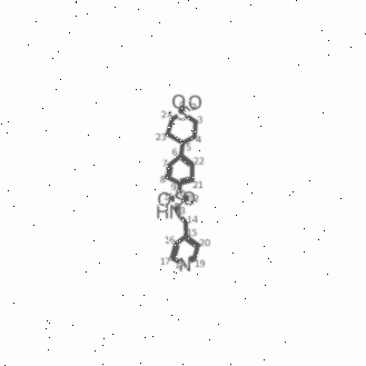 O=S1(=O)CCC(c2ccc(S(=O)(=O)NCc3ccncc3)cc2)CC1